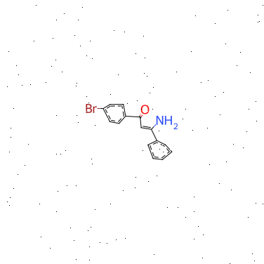 N/C(=C\C(=O)c1ccc(Br)cc1)c1ccccc1